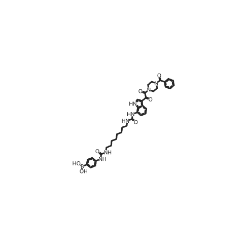 O=C(NCCCCCCCCNC(=O)Nc1cccc2c(C(=O)C(=O)N3CCN(C(=O)c4ccccc4)CC3)c[nH]c12)Nc1ccc(B(O)O)cc1